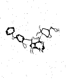 O=C(c1ccc(Oc2ccccc2)cc1Cl)c1c[nH]c2ncnc(N[C@H]3CO[C@H](CO)CC3(F)F)c12